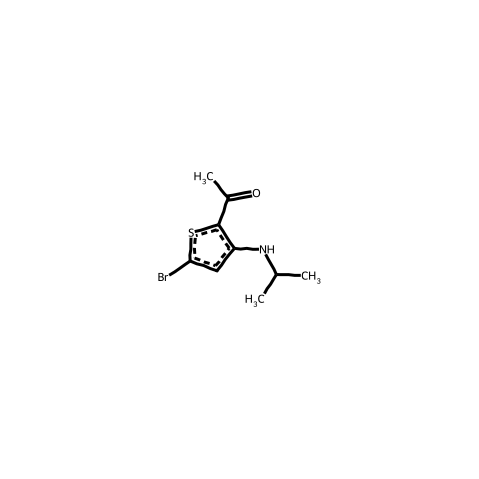 CC(=O)c1sc(Br)cc1NC(C)C